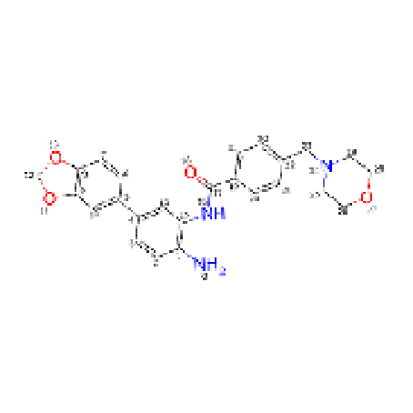 Nc1ccc(-c2ccc3c(c2)OCO3)cc1NC(=O)c1ccc(CN2CCOCC2)cc1